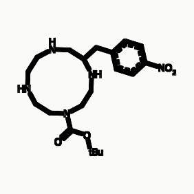 CC(C)(C)OC(=O)N1CCNCCNCC(Cc2ccc([N+](=O)[O-])cc2)NCC1